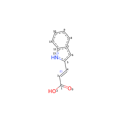 O=C(O)/C=C/c1cc2ccccc2[nH]1